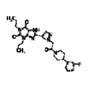 CCCn1c(=O)c2[nH]c(-c3cnn(CC(=O)N4CCC(c5cccc(F)c5)CC4)c3)nc2n(CCC)c1=O